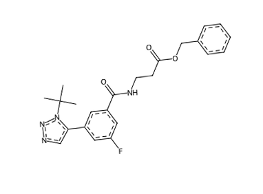 CC(C)(C)n1nncc1-c1cc(F)cc(C(=O)NCCC(=O)OCc2ccccc2)c1